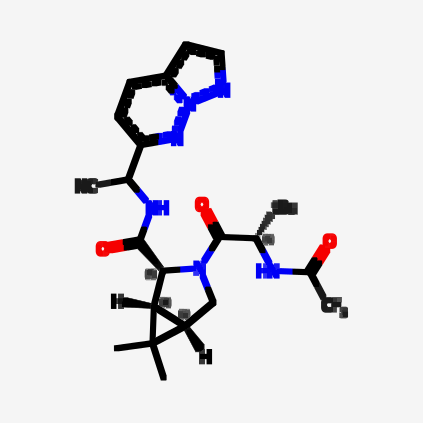 CC(C)(C)[C@H](NC(=O)C(F)(F)F)C(=O)N1C[C@H]2[C@@H]([C@H]1C(=O)NC(C#N)c1ccc3ccnn3n1)C2(C)C